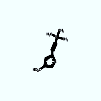 C[Si](C)(C)C#Cc1cc(C(=O)O)cs1